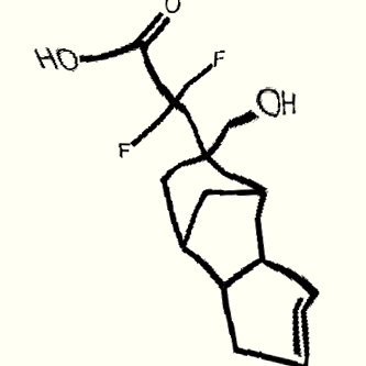 O=C(O)C(F)(F)C1(O)CC2CC1C1C=CCC21